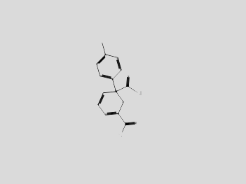 Cc1ccc(C2(C(N)=O)C=CC=C(C(N)=O)C2)cc1